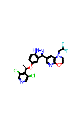 C[C@@H](Oc1ccc2[nH]nc(-c3cnc4c(c3)N(CC(F)F)CCO4)c2c1)c1c(Cl)cncc1Cl